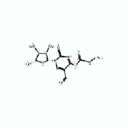 C=Cc1cn([C@@H]2O[C@H](C)[C@@H](OC(C)=O)[C@H]2OC(C)=O)c(=O)nc1NC(=O)OCCCCC